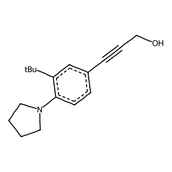 CC(C)(C)c1cc(C#CCO)ccc1N1CCCC1